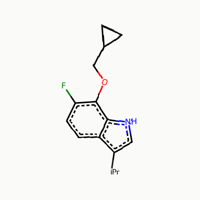 CC(C)c1c[nH]c2c(OCC3CC3)c(F)ccc12